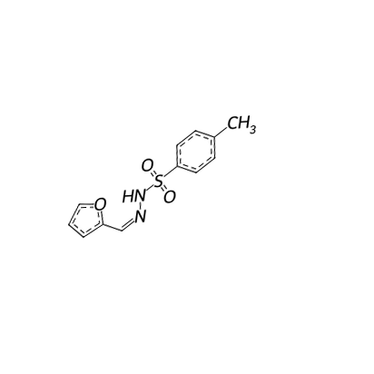 Cc1ccc(S(=O)(=O)N/N=C\c2ccco2)cc1